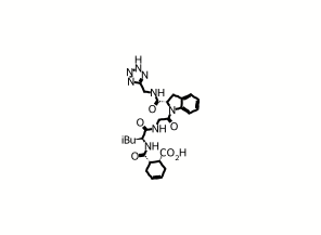 CC[C@H](C)[C@H](NC(=O)[C@H]1CC=CC[C@H]1C(=O)O)C(=O)NCC(=O)N1c2ccccc2C[C@H]1C(=O)NCc1nn[nH]n1